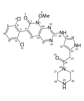 COn1c(=O)c(-c2c(Cl)cccc2Cl)cc2cnc(Nc3c[nH]c(CC(=O)N4CCNCC4)c3)nc21